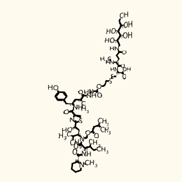 CCC(C)[C@H](NC(=O)[C@H]1CCCCN1C)C(=O)N(COC(=O)CC(C)C)[C@H](C[C@@H](O)c1nc(C(=O)N[C@@H](Cc2ccc(O)cc2)C[C@H](C)C(=O)NNC(=O)OCCSSC[C@H](NC(=O)[C@H](CCC(=O)NC[C@H](O)[C@@H](O)[C@H](O)[C@H](O)CO)NC)C(=O)O)cs1)C(C)C